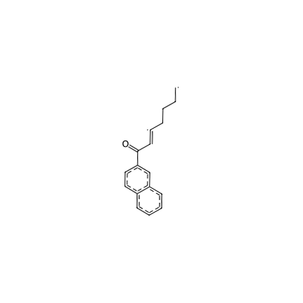 [CH2]CCC[C]=CC(=O)c1ccc2ccccc2c1